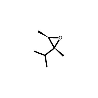 CC(C)[C@@]1(C)O[C@@H]1C